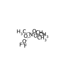 C[C@H]1CN(C(=O)OC(C)(C)C)C[C@H](COC(F)F)O1